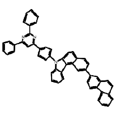 c1ccc(-c2cc(-c3ccc(-n4c5ccccc5c5c6cc(-c7ccc8c(ccc9ccccc98)c7)ccc6ccc54)cc3)nc(-c3ccccc3)n2)cc1